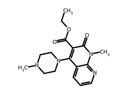 CCOC(=O)c1c(N2CCN(C)CC2)c2cccnc2n(C)c1=O